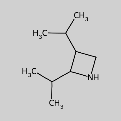 CC(C)C1CNC1C(C)C